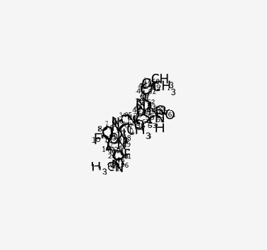 C[C@H]1c2c(nn(-c3ccc(F)c(C4CC4)c3)c2-n2ccn(-c3ccc4c(cnn4C)c3F)c2=O)CCN1C(=O)c1cn2nc([C@H]3CCOC(C)(C)C3)ccc2c1C1(c2noc(=O)[nH]2)CC1